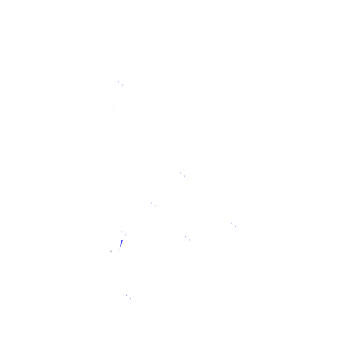 CN(c1cnc(C(N)=O)c(Nc2ccc(C(=O)N3CCOCC3)cc2)n1)[C@@H]1CCCNC1